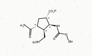 CC(=O)NC[C@@H]1[C@H](NC(=O)OC(C)(C)C)[C@@H](C(=O)O)C[C@H]1C(N)=O